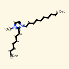 CCCCCCCCCCCCCCCCCCCn1cc[n+](CCCCCCCC)c1CCCCCCCCCCCCCCCC